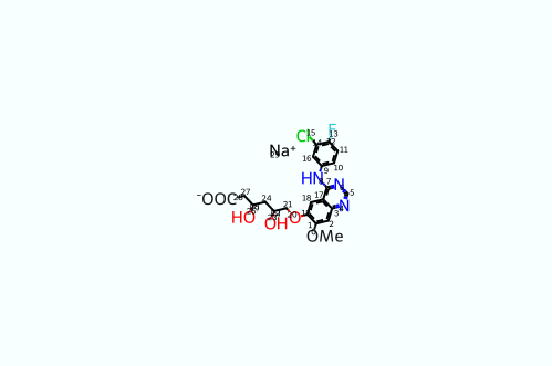 COc1cc2ncnc(Nc3ccc(F)c(Cl)c3)c2cc1OC[C@@H](O)C[C@@H](O)CC(=O)[O-].[Na+]